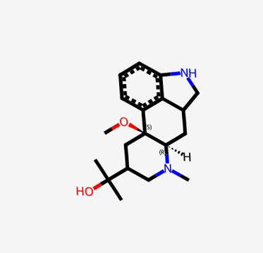 CO[C@]12CC(C(C)(C)O)CN(C)[C@@H]1CC1CNc3cccc2c31